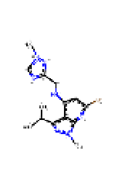 CCCCC(C)c1nn(C)c2nc(Br)cc(NCc3ncn(C)n3)c12